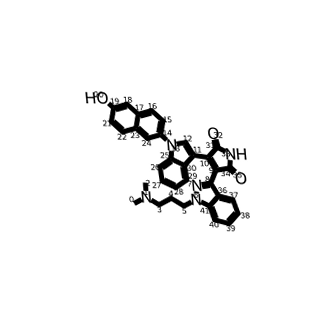 CN(C)CCCn1nc(C2=C(c3cn(-c4ccc5cc(O)ccc5c4)c4ccccc34)C(=O)NC2=O)c2ccccc21